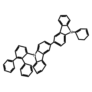 C1=CCCC(n2c3ccccc3c3cc(-c4ccc5c(c4)c4ccccc4n5-c4cccc(-c5ccccc5)c4-c4ccccc4)ccc32)=C1